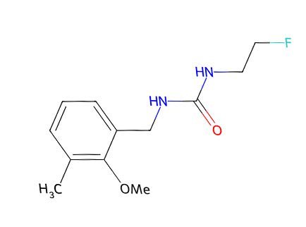 COc1c(C)cccc1CNC(=O)NCCF